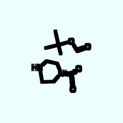 CC(C)(C)OC=O.O=S(=O)=[N+]1CCNCC1